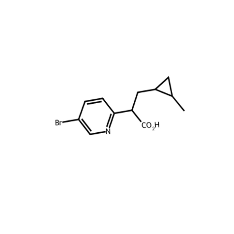 CC1CC1CC(C(=O)O)c1ccc(Br)cn1